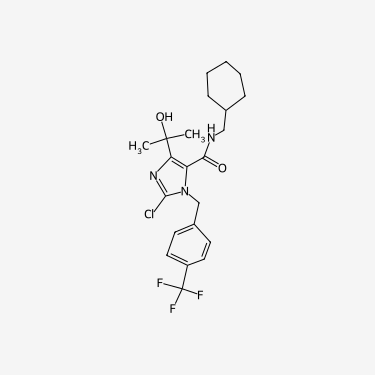 CC(C)(O)c1nc(Cl)n(Cc2ccc(C(F)(F)F)cc2)c1C(=O)NCC1CCCCC1